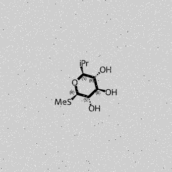 CS[C@H]1O[C@@H](C(C)C)[C@H](O)[C@@H](O)[C@@H]1O